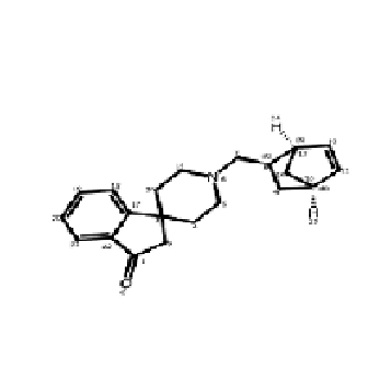 O=C1CC2(CCN(C[C@@H]3C[C@@H]4C=C[C@H]3C4)CC2)c2ccccc21